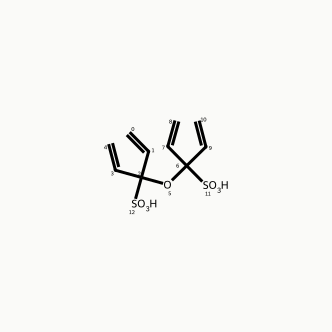 C=CC(C=C)(OC(C=C)(C=C)S(=O)(=O)O)S(=O)(=O)O